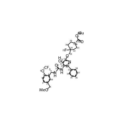 COCc1ccc(OC(F)(F)F)c(CNC(=O)Nc2c(C)c(OCC3(F)CCN(C(=O)OC(C)(C)C)CC3)nn2-c2ccccc2)c1